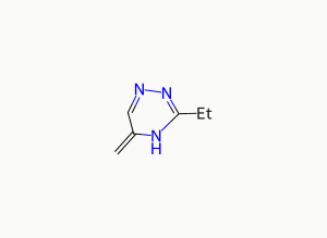 C=C1C=NN=C(CC)N1